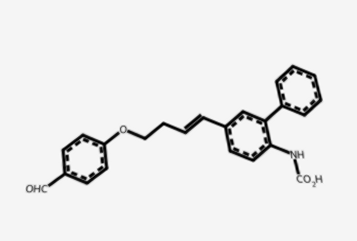 O=Cc1ccc(OCC/C=C/c2ccc(NC(=O)O)c(-c3ccccc3)c2)cc1